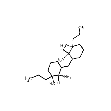 CCCC1(C)CCCC(CC2CCCC(C)(CCC)C2(N)Cl)C1(N)Cl